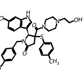 Cc1ccc(SC2(C(=O)N3CCN(CCO)CC3)CC(=O)N(Cc3ccc(Cl)cc3)[C@H]2c2c[nH]c3cc(Cl)ccc23)cc1